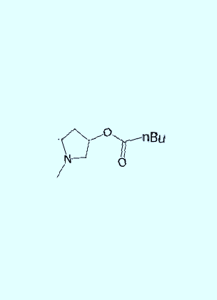 CCCCC(=O)OC1C[CH]N(C)C1